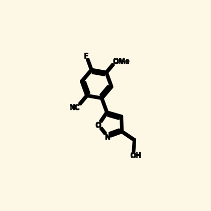 COc1cc(-c2cc(CO)no2)c(C#N)cc1F